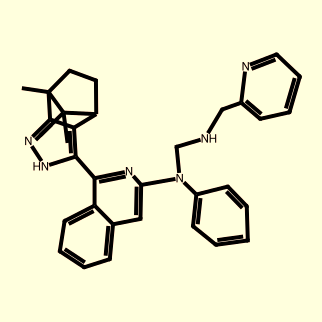 CC12CCC(c3c1n[nH]c3-c1nc(N(CNCc3ccccn3)c3ccccc3)cc3ccccc13)C2(C)C